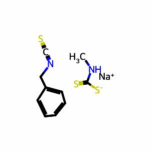 CNC(=S)[S-].S=C=NCc1ccccc1.[Na+]